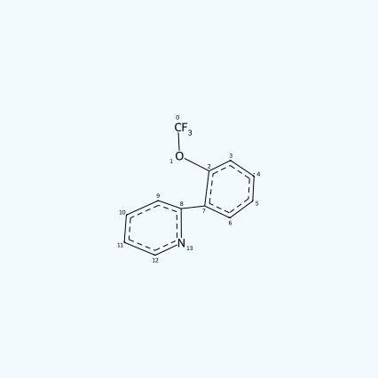 FC(F)(F)Oc1c[c]ccc1-c1ccccn1